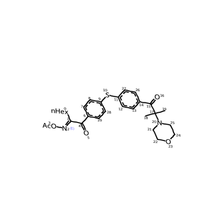 CCCCCC/C(=N\OC(C)=O)C(=O)c1ccc(Sc2ccc(C(=O)C(C)(C)N3CCOCC3)cc2)cc1